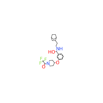 O=C(N1CCC(Oc2cccc(C(O)NCCC3CC4CCC3C4)c2)CC1)C(F)(F)F